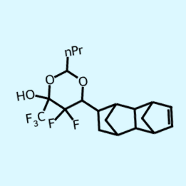 CCCC1OC(C2CC3CC2C2C4C=CC(C4)C32)C(F)(F)C(O)(C(F)(F)F)O1